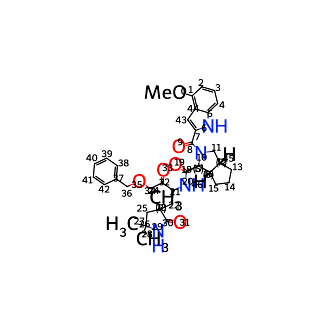 COc1cccc2[nH]c(C(=O)N3C[C@@H]4CCC[C@@H]4[C@H]3C(=O)NC(C[C@]3(C)CC(C)(C)NC3=O)C(=O)COCc3ccccc3)cc12